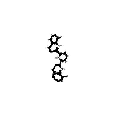 Cc1cccc2ccc(-c3cccc(-c4ccc5cccc(C)c5n4)n3)nc12